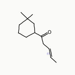 C/C=C/CC(=O)C1CCCC(C)(C)C1